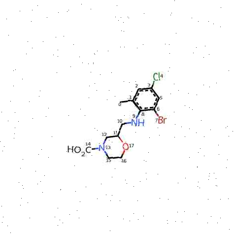 Cc1cc(Cl)cc(Br)c1NCC1CN(C(=O)O)CCO1